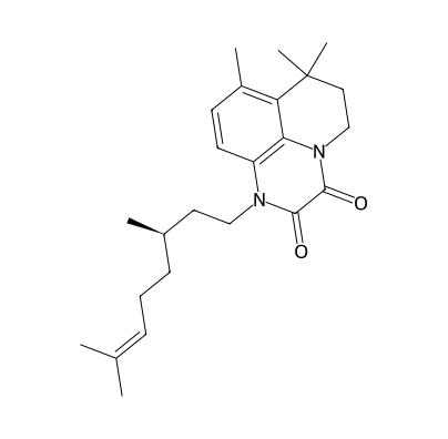 CC(C)=CCC[C@@H](C)CCn1c(=O)c(=O)n2c3c(c(C)ccc31)C(C)(C)CC2